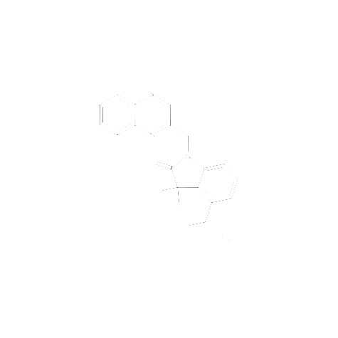 C[C@H](O)c1cccc2c1C(F)(F)C(=O)N2Cc1ccc2ccccc2n1